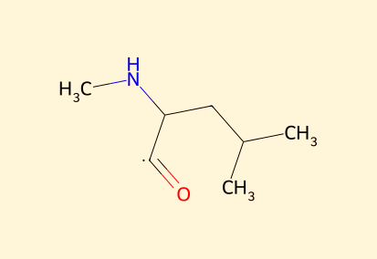 CNC([C]=O)CC(C)C